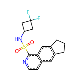 O=S(=O)(NC1CC(F)(F)C1)c1nccc2cc3c(cc12)CCC3